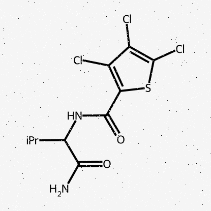 CC(C)C(NC(=O)c1sc(Cl)c(Cl)c1Cl)C(N)=O